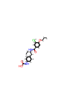 CCCOc1ccc(C(=O)N[C@H](CC)Cc2ccc(NC(=O)O)cc2)cc1Cl